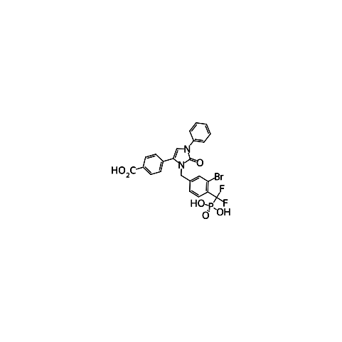 O=C(O)c1ccc(-c2cn(-c3ccccc3)c(=O)n2Cc2ccc(C(F)(F)P(=O)(O)O)c(Br)c2)cc1